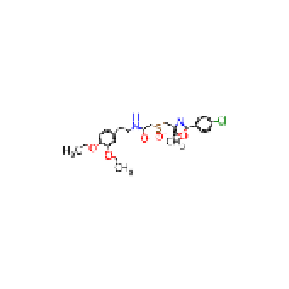 CCOc1ccc(CCNC(=O)C[S+]([O-])Cc2nc(-c3ccc(Cl)cc3)oc2C)cc1OCC